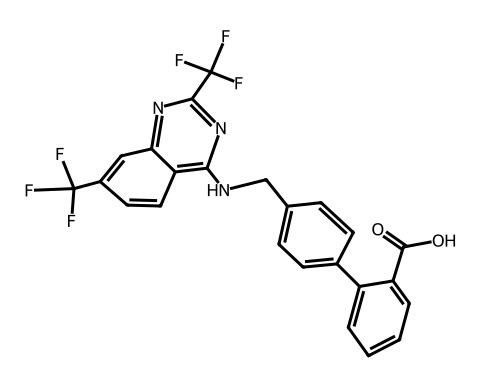 O=C(O)c1ccccc1-c1ccc(CNc2nc(C(F)(F)F)nc3cc(C(F)(F)F)ccc23)cc1